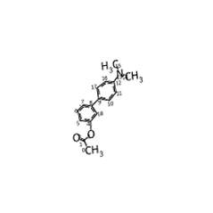 CC(=O)Oc1cc[c]c(-c2ccc(N(C)C)cc2)c1